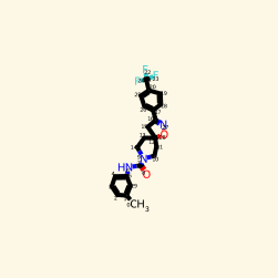 Cc1cccc(NC(=O)N2CCC3(CC2)CC(c2ccc(C(F)(F)F)cc2)=NO3)c1